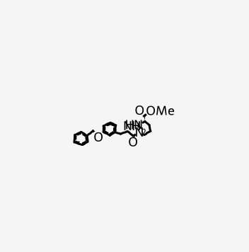 COC(=O)[C@@H]1CCCN(C(=O)C(N)Cc2cccc(OCc3ccccc3)c2)N1